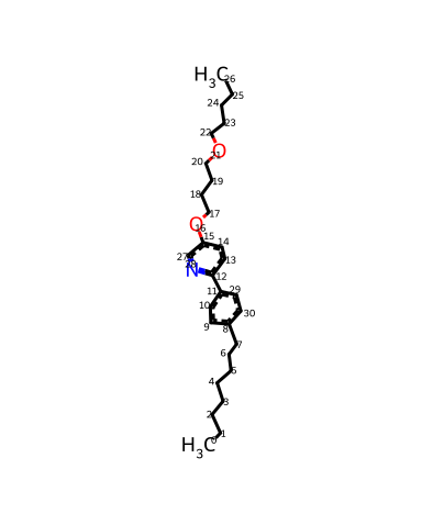 CCCCCCCCc1ccc(-c2ccc(OCCCCOCCCCC)cn2)cc1